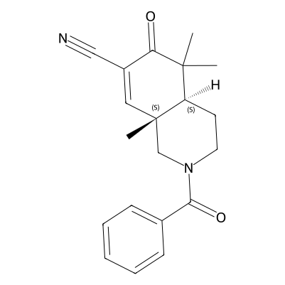 CC1(C)C(=O)C(C#N)=C[C@@]2(C)CN(C(=O)c3ccccc3)CC[C@H]12